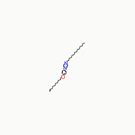 C=CCCCCCCCCOc1ccc(N2CCN(CCCCCCCCCCCCCC)CC2)cc1